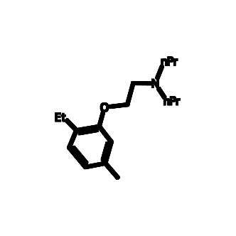 CCCN(CCC)CCOc1cc(C)ccc1CC